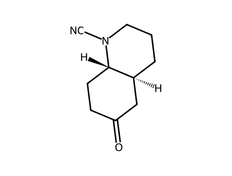 N#CN1CCC[C@H]2CC(=O)CC[C@@H]21